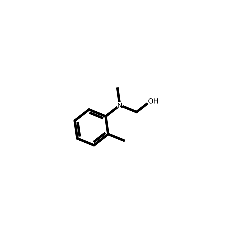 Cc1ccccc1N(C)CO